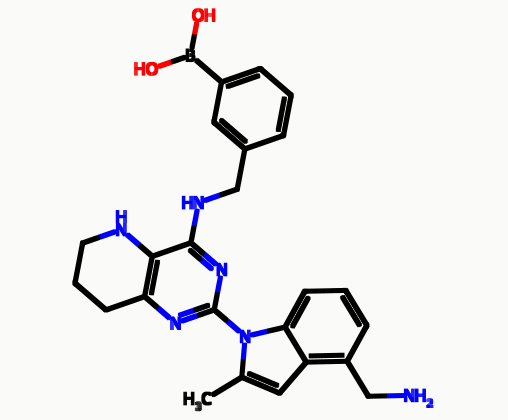 Cc1cc2c(CN)cccc2n1-c1nc2c(c(NCc3cccc(B(O)O)c3)n1)NCCC2